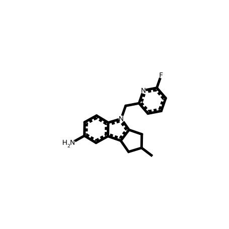 CC1Cc2c(n(Cc3cccc(F)n3)c3ccc(N)cc23)C1